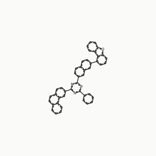 c1ccc(-c2nc(-c3ccc4ccc(-c5cccc6oc7ccccc7c56)cc4c3)nc(-c3ccc4ccc5ccccc5c4c3)n2)cc1